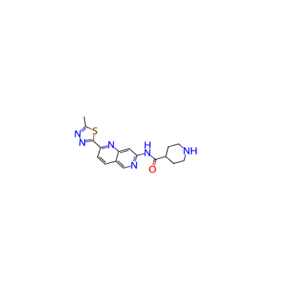 Cc1nnc(-c2ccc3cnc(NC(=O)C4CCNCC4)cc3n2)s1